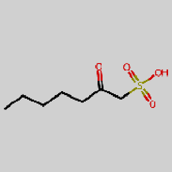 CCCCCC(=O)CS(=O)(=O)O